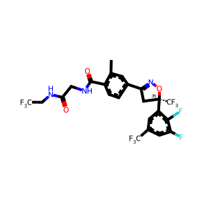 Cc1cc(C2=NO[C@](c3cc(C(F)(F)F)cc(F)c3F)(C(F)(F)F)C2)ccc1C(=O)NCC(=O)NCC(F)(F)F